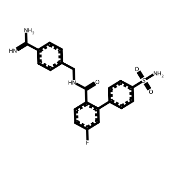 N=C(N)c1ccc(CNC(=O)c2ccc(F)cc2-c2ccc(S(N)(=O)=O)cc2)cc1